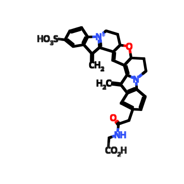 C=C1C2=[N+](CCC3OC4CCn5c(c(=C)c6cc(CC(=O)NCC(=O)O)ccc65)=C4C=C23)c2ccc(S(=O)(=O)O)cc21